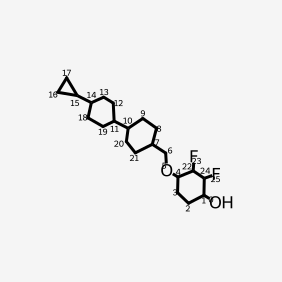 OC1CCC(OCC2CCC(C3CCC(C4CC4)CC3)CC2)C(F)C1F